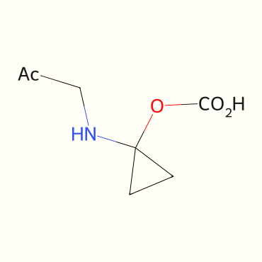 CC(=O)CNC1(OC(=O)O)CC1